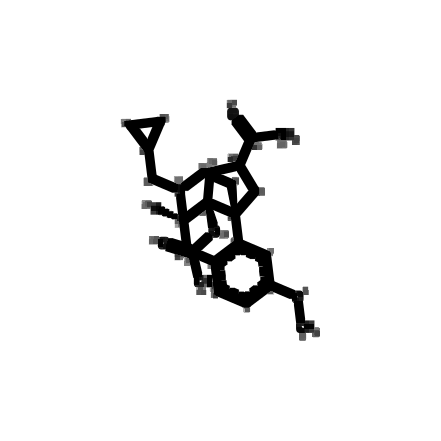 COc1ccc2c(c1)[C@]13CCN(CC4CC4)[C@H](C2)[C@]1(OC(C)=O)CC(C(N)=O)C3